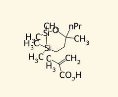 C=C(C)C(=O)O.CCCC1(C)CC[Si](C)(C)[Si](C)(C)O1